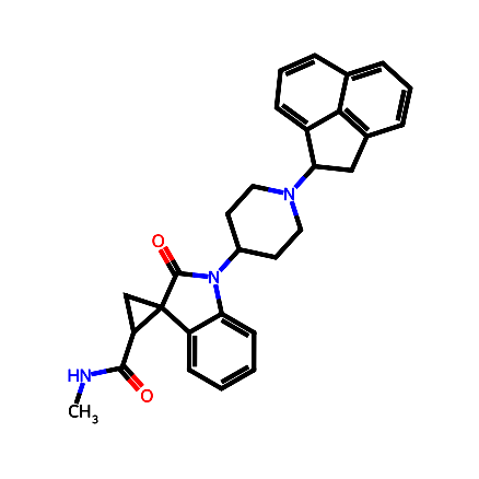 CNC(=O)C1CC12C(=O)N(C1CCN(C3Cc4cccc5cccc3c45)CC1)c1ccccc12